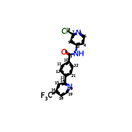 O=C(Nc1ccnc(Cl)c1)c1ccc(-c2cc(C(F)(F)F)ccn2)cc1